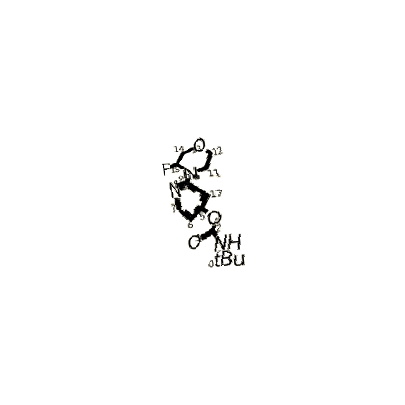 CC(C)(C)NC(=O)Oc1ccnc(N2CCOCC2F)c1